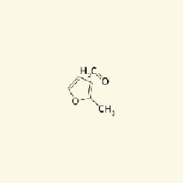 C=O.Cc1ccco1